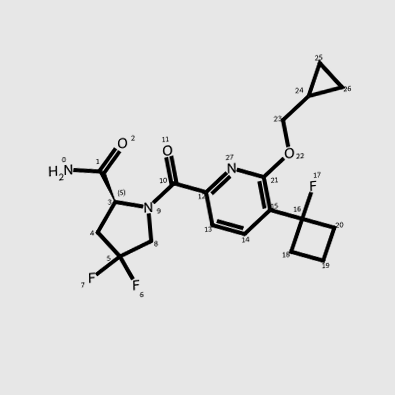 NC(=O)[C@@H]1CC(F)(F)CN1C(=O)c1ccc(C2(F)CCC2)c(OCC2CC2)n1